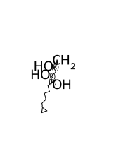 C=C[C@H](O)C[C@@H](O)[C@H](O)CCCCCC1CC1